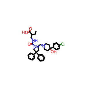 CCC(CNC(=O)NCC(CCCN1CCC(O)(c2ccc(Cl)cc2)CC1)(c1ccccc1)c1ccccc1)C(=O)O